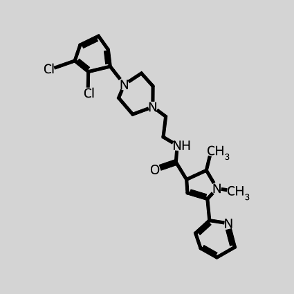 CC1C(C(=O)NCCN2CCN(c3cccc(Cl)c3Cl)CC2)C=C(c2ccccn2)N1C